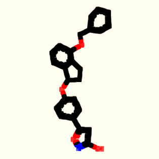 Oc1cc(-c2ccc(OC3CCc4c(OCc5ccccc5)cccc43)cc2)on1